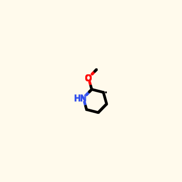 COC1[CH]CCCN1